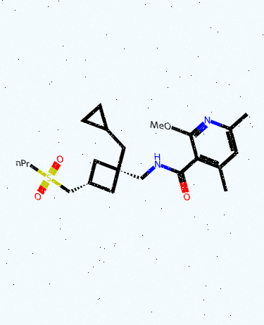 CCCS(=O)(=O)C[C@H]1C[C@](CNC(=O)c2c(C)cc(C)nc2OC)(CC2CC2)C1